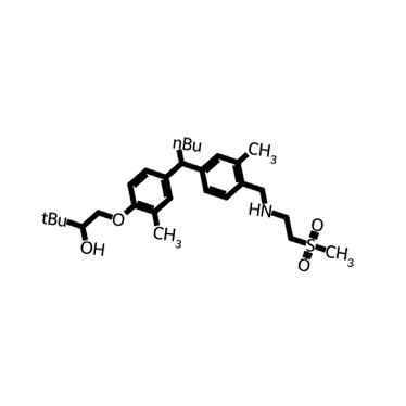 CCCCC(c1ccc(CNCCS(C)(=O)=O)c(C)c1)c1ccc(OCC(O)C(C)(C)C)c(C)c1